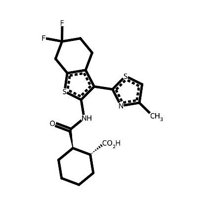 Cc1csc(-c2c(NC(=O)[C@@H]3CCCC[C@H]3C(=O)O)sc3c2CCC(F)(F)C3)n1